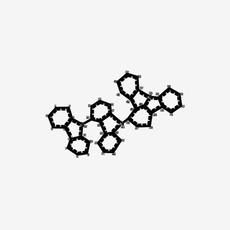 c1ccc2c(c1)c1ccccc1n2-c1cccc2c1c1ccccc1n2-c1ccc2c3ccccc3n3c4ccccc4c1c23